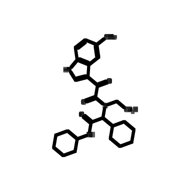 COc1ccc2[nH]cc(C(=O)C(=O)N(CC(=O)O)C(C(=O)NC3CCCCC3)C3CCCCC3)c2c1